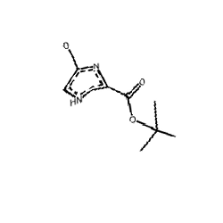 CC(C)(C)OC(=O)c1nc([O])c[nH]1